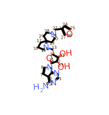 Nc1ncnc2c1ccn2[C@@H]1O[C@H](CN2CCCC23CCN(Cc2ccoc2)CC3)[C@@H](O)[C@H]1O